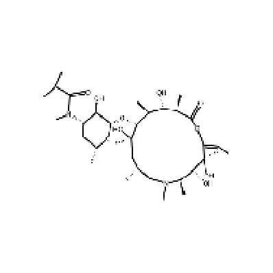 C/C=C1/OC(=O)[C@H](C)[C@@H](O)[C@H](C)[C@@H](O[C@@H]2O[C@H](C)C[C@H](N(C)C(=O)C(C)C)[C@H]2O)[C@](C)(O)C[C@@H](C)CN(C)[C@H](C)[C@@H](O)[C@]1(C)O